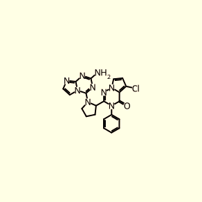 Nc1nc(N2CCCC2c2nn3ccc(Cl)c3c(=O)n2-c2ccccc2)n2ccnc2n1